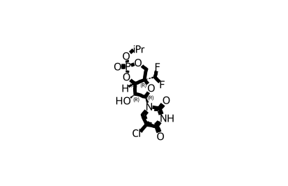 CC(C)OP1(=O)OC[C@@]2(C(F)F)O[C@@H](n3cc(Cl)c(=O)[nH]c3=O)[C@H](O)[C@@H]2O1